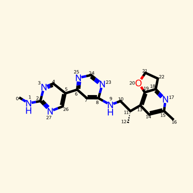 CNc1ncc(-c2cc(NC[C@@H](C)c3cc(C)nc4c3OCC4)ncn2)cn1